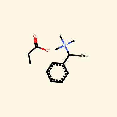 CCC(=O)[O-].CCCCCCCCCCC(c1ccccc1)[N+](C)(C)C